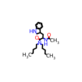 CCCCCN(CCCCC)C(=O)C(CC1CNc2ccccc21)NC(C)=O